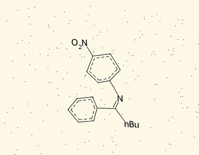 CCCCC(=Nc1ccc([N+](=O)[O-])cc1)c1ccccc1